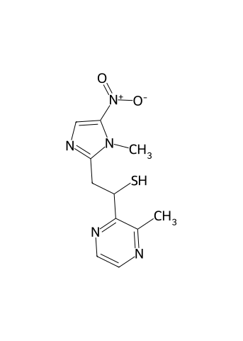 Cc1nccnc1C(S)Cc1ncc([N+](=O)[O-])n1C